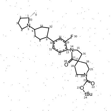 C[C@H]1CCCN1C1CCC(c2ccc(N3CCC4(CCN(C(=O)OC(C)(C)C)CC4)C3=O)c(F)c2)CC1